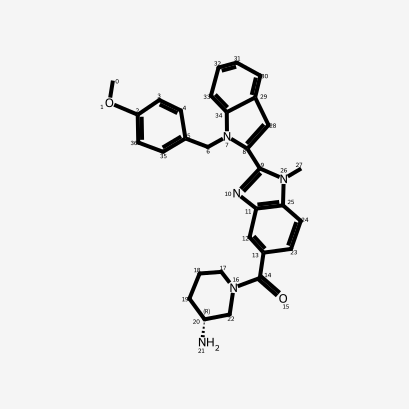 COc1ccc(Cn2c(-c3nc4cc(C(=O)N5CCC[C@@H](N)C5)ccc4n3C)cc3ccccc32)cc1